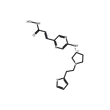 O=C(/C=C/c1cnc(N[C@@H]2CCN(CCc3cccs3)C2)cn1)NO